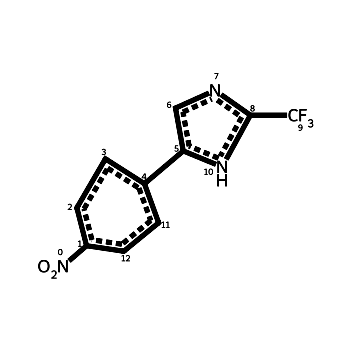 O=[N+]([O-])c1ccc(-c2cnc(C(F)(F)F)[nH]2)cc1